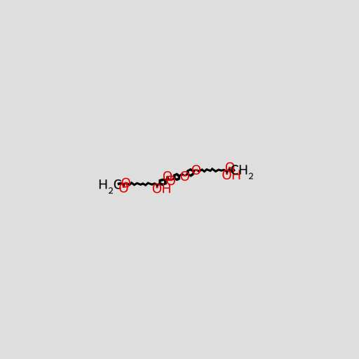 C=CC(=O)OCCCCCCCCCCC(O)c1ccc(C(=O)Oc2ccc(COc3ccc(OCCCCCCCCCCC(O)C(=O)C=C)cc3)cc2)cc1